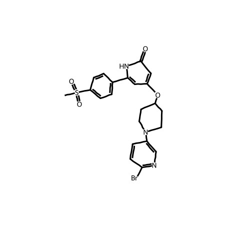 CS(=O)(=O)c1ccc(-c2cc(OC3CCN(c4ccc(Br)nc4)CC3)cc(=O)[nH]2)cc1